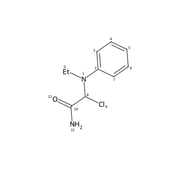 CCN(c1ccccc1)C(Cl)C(N)=O